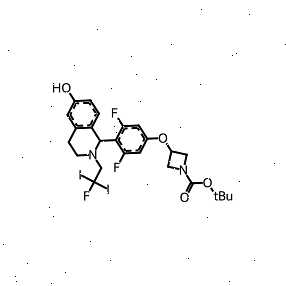 CC(C)(C)OC(=O)N1CC(Oc2cc(F)c(C3c4ccc(O)cc4CCN3CC(F)(I)I)c(F)c2)C1